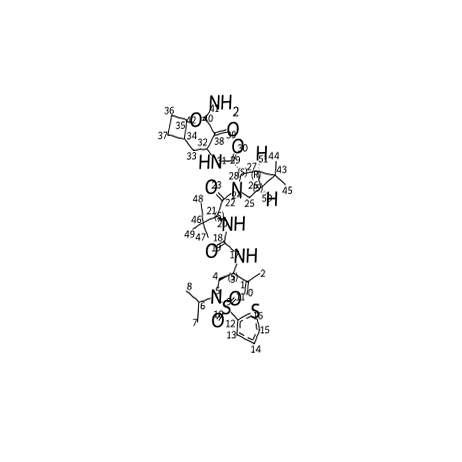 C=C(C)[C@@H](CN(C(C)C)S(=O)(=O)c1cccs1)NC(=O)N[C@H](C(=O)N1C[C@H]2[C@@H]([C@H]1C(=O)NC(CC1CCC1)C(=O)C(N)=O)C2(C)C)C(C)(C)C